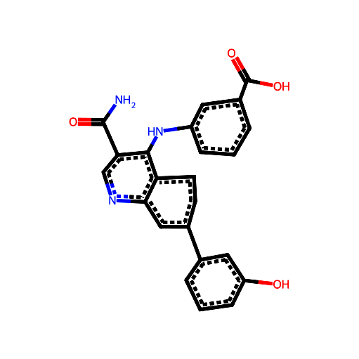 NC(=O)c1cnc2cc(-c3cccc(O)c3)ccc2c1Nc1cccc(C(=O)O)c1